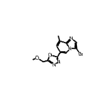 COCc1nnc(-c2cc(C)c3ncc(Br)n3c2)o1